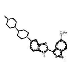 COc1ccc2[nH]nc(-c3nc4cc(N5CCC(N6CCN(C)CC6)CC5)ccc4[nH]3)c2c1